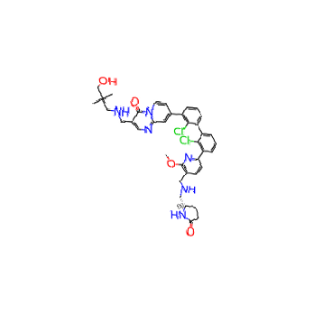 COc1nc(-c2cccc(-c3cccc(-c4ccn5c(=O)c(CNCC(C)(C)CO)cnc5c4)c3Cl)c2Cl)ccc1CNC[C@@H]1CCC(=O)N1